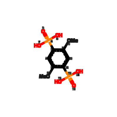 COc1cc(P(=O)(O)O)c(OC)cc1P(=O)(O)O